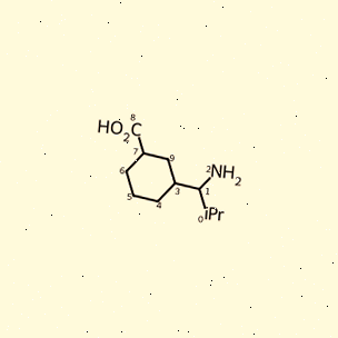 CC(C)C(N)C1CCCC(C(=O)O)C1